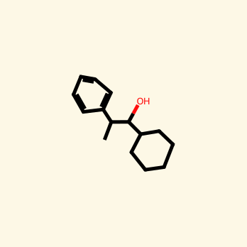 CC(c1ccccc1)C(O)C1CCCCC1